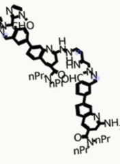 CCCN(CCC)C(=O)C1=Cc2ccc(-c3ccc(C=O)c(/C=N\N(C)CC(=N)/C=C\NNC4=Nc5cc(-c6ccc(C=O)c(/C=N\N(C)Cc7nccn7C)c6)ccc5C=C(C(=O)N(CCC)CCC)C4)c3)cc2N=C(N)C1